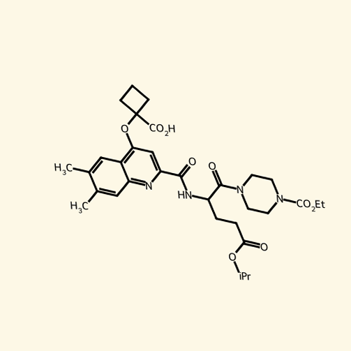 CCOC(=O)N1CCN(C(=O)C(CCC(=O)OC(C)C)NC(=O)c2cc(OC3(C(=O)O)CCC3)c3cc(C)c(C)cc3n2)CC1